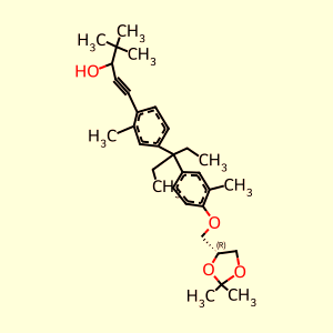 CCC(CC)(c1ccc(C#CC(O)C(C)(C)C)c(C)c1)c1ccc(OC[C@@H]2COC(C)(C)O2)c(C)c1